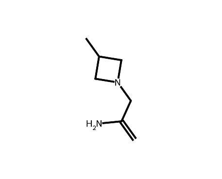 C=C(N)CN1CC(C)C1